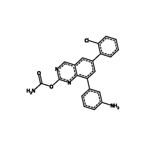 NC(=O)Oc1ncc2cc(-c3ccccc3Cl)cc(-c3cccc(N)c3)c2n1